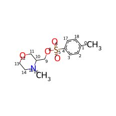 Cc1ccc(S(=O)(=O)OCC2COCCN2C)cc1